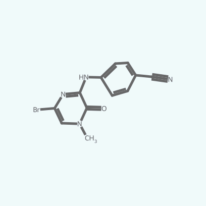 Cn1cc(Br)nc(Nc2ccc(C#N)cc2)c1=O